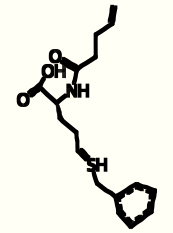 C=CCCC(=O)N[C@@H](CCC=[SH]Cc1ccccc1)C(=O)O